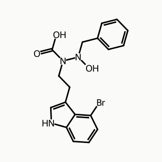 O=C(O)N(CCc1c[nH]c2cccc(Br)c12)N(O)Cc1ccccc1